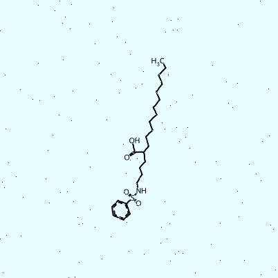 CCCCCCCCCCCCC(CCCCNS(=O)(=O)c1ccccc1)C(=O)O